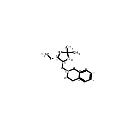 CC1(C)O[C@@H](CN)[C@H](CN2CCc3ccccc3C2)O1